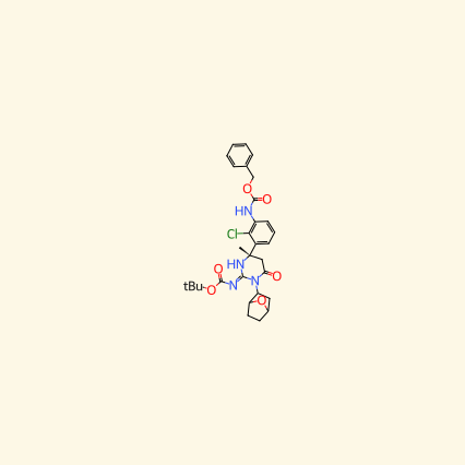 CC(C)(C)OC(=O)/N=C1\N[C@](C)(c2cccc(NC(=O)OCc3ccccc3)c2Cl)CC(=O)N1C1CC2CCC1O2